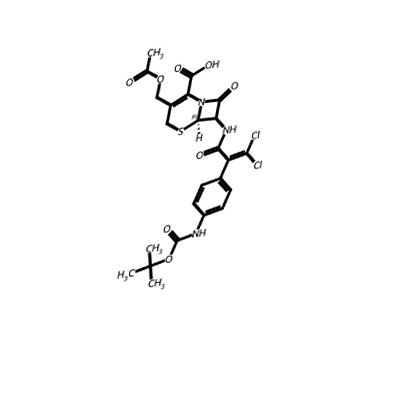 CC(=O)OCC1=C(C(=O)O)N2C(=O)C(NC(=O)C(=C(Cl)Cl)c3ccc(NC(=O)OC(C)(C)C)cc3)[C@H]2SC1